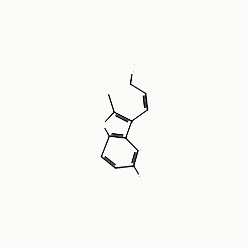 Cc1sc2ccc(N)cc2c1/C=C\CN